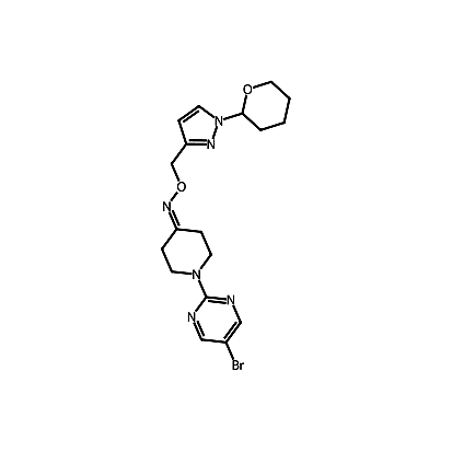 Brc1cnc(N2CCC(=NOCc3ccn(C4CCCCO4)n3)CC2)nc1